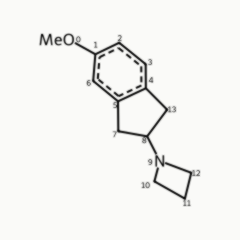 COc1ccc2c(c1)CC(N1CCC1)C2